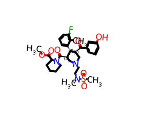 COC(=O)C1CCCCN1C(=O)[C@@H]1CN(CCN(C)S(C)(=O)=O)C[C@H](C(=O)c2cccc(O)c2)[C@H]1c1cccc(F)c1C